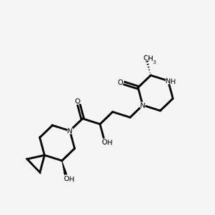 C[C@@H]1NCCN(CCC(O)C(=O)N2CCC3(CC3)[C@H](O)C2)C1=O